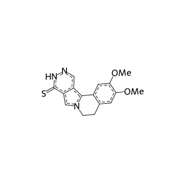 COc1cc2c(cc1OC)-c1c3cn[nH]c(=S)c3cn1CC2